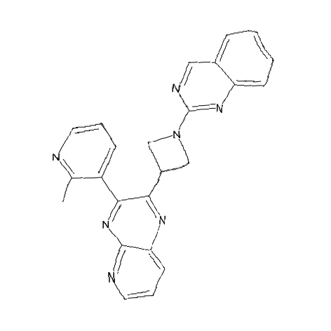 Cc1ncccc1-c1nc2ncccc2nc1C1CN(c2ncc3ccccc3n2)C1